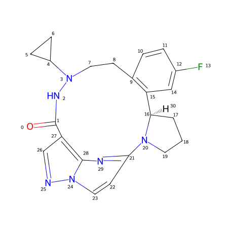 O=C1NN(C2CC2)CCc2ccc(F)cc2[C@H]2CCCN2c2ccn3ncc1c3n2